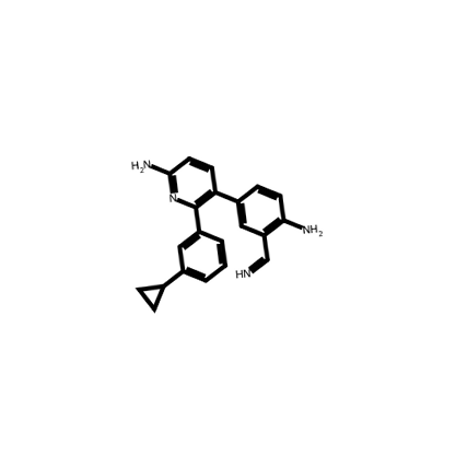 N=Cc1cc(-c2ccc(N)nc2-c2cccc(C3CC3)c2)ccc1N